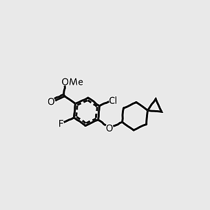 COC(=O)c1cc(Cl)c(OC2CCC3(CC2)CC3)cc1F